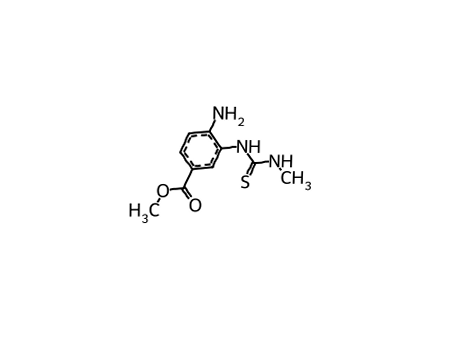 CNC(=S)Nc1cc(C(=O)OC)ccc1N